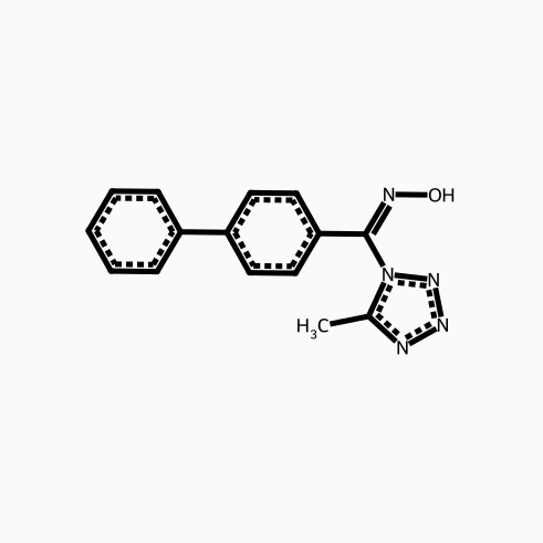 Cc1nnnn1C(=NO)c1ccc(-c2ccccc2)cc1